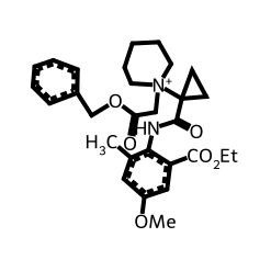 CCOC(=O)c1cc(OC)cc(C)c1NC(=O)C1([N+]2(CC(=O)OCc3ccccc3)CCCCC2)CC1